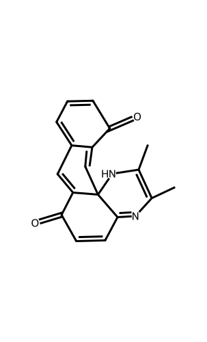 CC1=C(C)NC23C=C4C(=O)C=CC=C4C=C2C(=O)C=CC3=N1